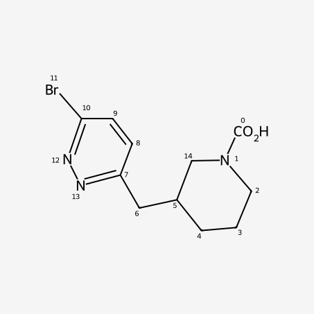 O=C(O)N1CCCC(Cc2ccc(Br)nn2)C1